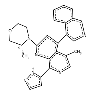 Cc1cnc(-c2ccn[nH]2)c2nc(N3CCOC[C@H]3C)cc(-c3cncc4ccccc34)c12